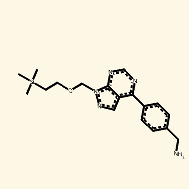 C[Si](C)(C)CCOCn1ncc2c(-c3ccc(CN)cc3)ncnc21